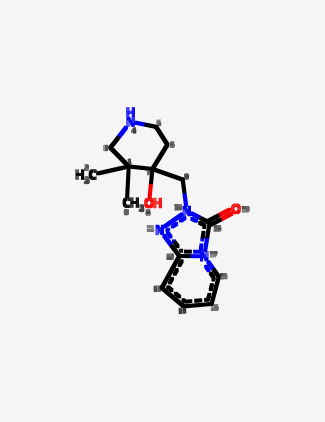 CC1(C)CNCCC1(O)Cn1nc2ccccn2c1=O